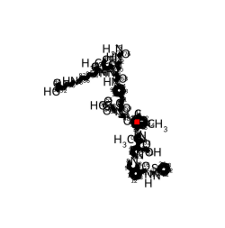 Cc1c(-c2ccc(N3CCc4cccc(C(=O)Nc5nc6ccccc6s5)c4C3)nc2C(=O)O)cnn1CC12CC3(C)CC(C)(C1)CC(OCCN(CCS(=O)(=O)O)C(=O)OCc1ccc(NC(=O)[C@H](CCCNC(N)=O)NC(=O)[C@@H](NC(=O)CCCCCNCCCC(=O)O)C(C)C)cc1)(C3)C2